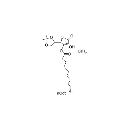 CCCCCCCC/C=C\CCCCCCCC(=O)OC1=C(O)C(=O)OC1C1COC(C)(C)O1.[CaH2]